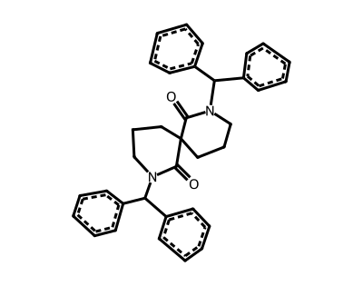 O=C1N(C(c2ccccc2)c2ccccc2)CCCC12CCCN(C(c1ccccc1)c1ccccc1)C2=O